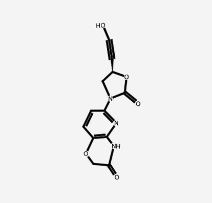 O=C1COc2ccc(N3C[C@@H](C#CO)OC3=O)nc2N1